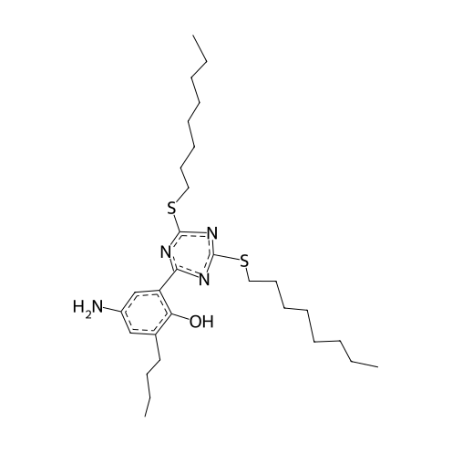 CCCCCCCCSc1nc(SCCCCCCCC)nc(-c2cc(N)cc(CCCC)c2O)n1